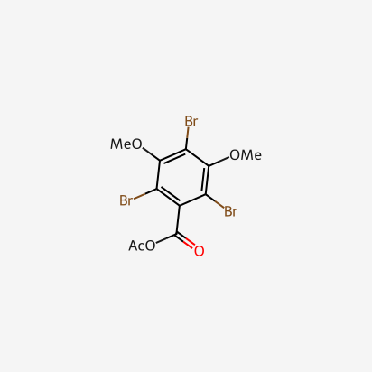 COc1c(Br)c(OC)c(Br)c(C(=O)OC(C)=O)c1Br